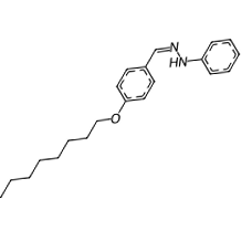 CCCCCCCCCOc1ccc(/C=N\Nc2ccccc2)cc1